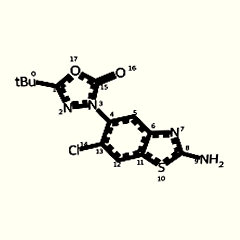 CC(C)(C)c1nn(-c2cc3nc(N)sc3cc2Cl)c(=O)o1